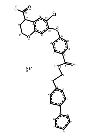 O=C(NCCc1ccc(-c2ccccc2)cc1)c1ccc(Oc2cc3c(cc2Cl)C(C(=O)[O-])CCO3)cc1.[Na+]